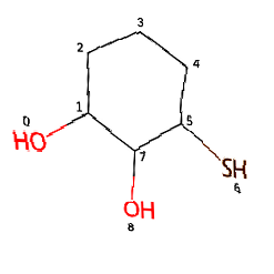 OC1CCCC(S)C1O